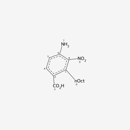 CCCCCCCCc1c(C(=O)O)ccc(N)c1[N+](=O)[O-]